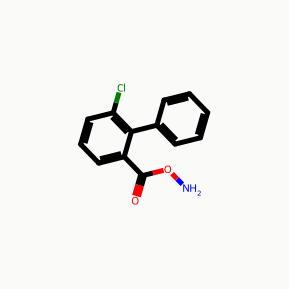 NOC(=O)c1cccc(Cl)c1-c1ccccc1